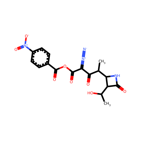 CC(O)C1C(=O)NC1C(C)C(=O)C(=[N+]=[N-])C(=O)OC(=O)c1ccc([N+](=O)[O-])cc1